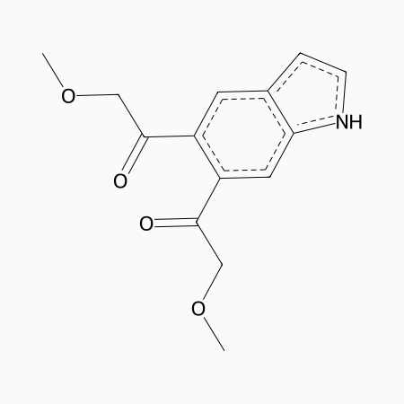 COCC(=O)c1cc2cc[nH]c2cc1C(=O)COC